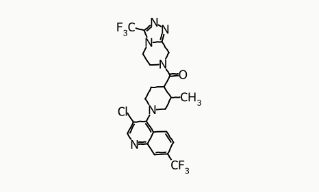 CC1CN(c2c(Cl)cnc3cc(C(F)(F)F)ccc23)CCC1C(=O)N1CCn2c(nnc2C(F)(F)F)C1